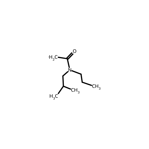 [CH2]C(=O)N(CCC)CC(C)C